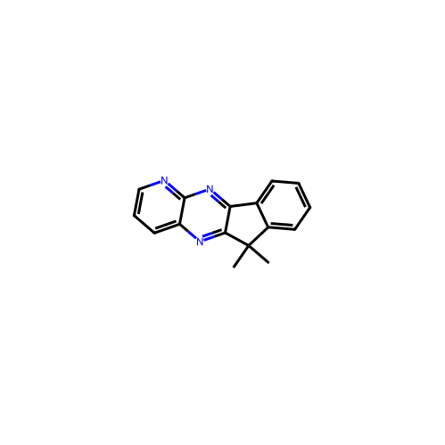 CC1(C)c2ccccc2-c2nc3ncccc3nc21